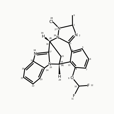 CC1N=C2c3cccc(OC(F)F)c3[C@H]3C[C@H](c4nc5ccccc5n43)N2N1Cl